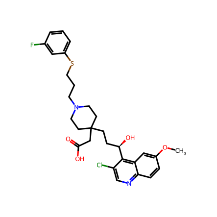 COc1ccc2ncc(Cl)c([C@H](O)CCC3(CC(=O)O)CCN(CCCSc4cccc(F)c4)CC3)c2c1